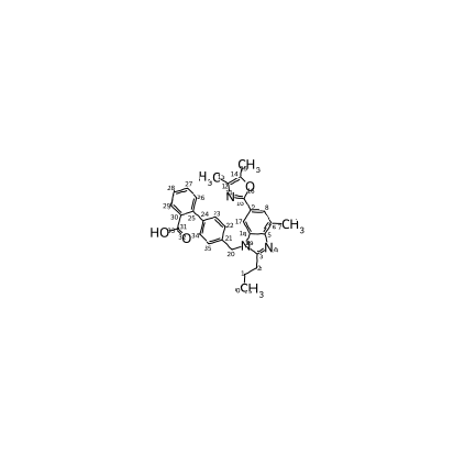 CCCc1nc2c(C)cc(-c3nc(C)c(C)o3)cc2n1Cc1ccc(-c2ccccc2C(=O)O)cc1